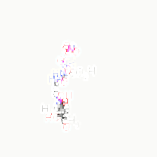 C[C@]12C=CC(=O)C=C1CC[C@@H]1[C@@H]2[C@@H](O)C[C@@]2(C)[C@H]1C[C@H]1CN(c3ccc(CC45CC(NC(=O)[C@H](CCC(=O)O)NC(=O)CNC(=O)CCC(=O)ON6C(=O)CCC6=O)(C4)C5)cc3)C[C@]12C(=O)CO